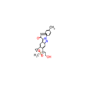 CNC(=O)c1c2cc(C3CC3)c([C@@H](CCO)S(C)(=O)=O)cc2nn1-c1ccc(C)cc1